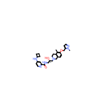 Cc1c(OCc2ccnn2C)ccc2c1CCN(C[C@@H](O)CNC(=O)c1cc(NC3CCC3)ccn1)C2